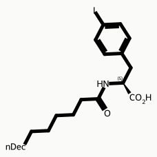 CCCCCCCCCCCCCCCC(=O)N[C@@H](Cc1ccc(I)cc1)C(=O)O